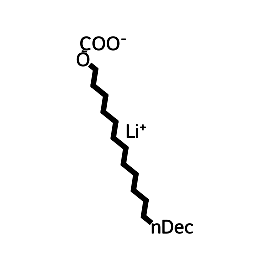 CCCCCCCCCCCCCCCCCCCCCCOC(=O)[O-].[Li+]